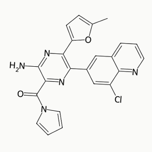 Cc1ccc(-c2nc(N)c(C(=O)n3cccc3)nc2-c2cc(Cl)c3ncccc3c2)o1